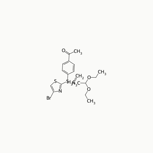 C=C.CC(=O)c1ccc(Sc2nc(Br)cs2)cc1.CCOC(C)OCC